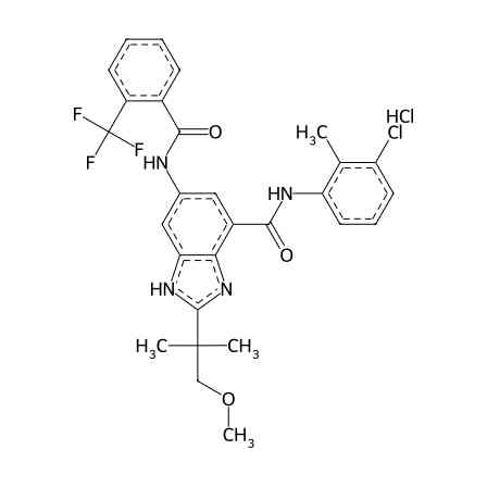 COCC(C)(C)c1nc2c(C(=O)Nc3cccc(Cl)c3C)cc(NC(=O)c3ccccc3C(F)(F)F)cc2[nH]1.Cl